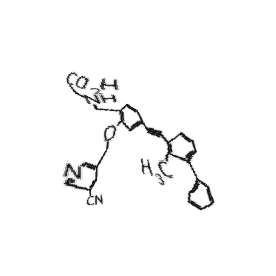 Cc1c(C#Cc2ccc(CNCC(=O)O)c(OCc3cncc(C#N)c3)c2)cccc1-c1ccccc1